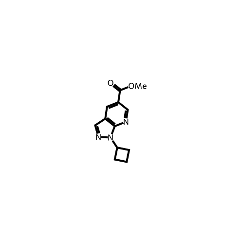 COC(=O)c1cnc2c(cnn2C2CCC2)c1